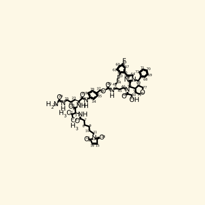 CC(C)[C@H](NC(=O)CCCCCN1C(=O)C=CC1=O)C(=O)N[C@@H](CCCNC(N)=O)C(=O)Nc1ccc(COC(=O)N[C@H](CF)CCN(C(=O)CO)[C@@H](c2nc(-c3cc(F)ccc3F)cn2Cc2ccccc2)C2CCOCC2)cc1